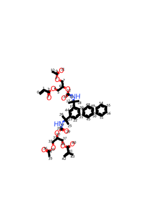 C=CC(=O)OCC(COC(C)=O)OC(=O)NC(C)(C)c1cccc(C(C)(C)NC(=O)OC(COC(C)=O)COC(=O)C(=C)C)c1.c1ccccc1.c1ccccc1